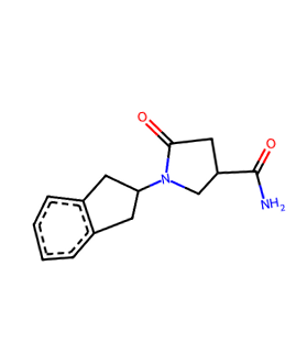 NC(=O)C1CC(=O)N(C2Cc3ccccc3C2)C1